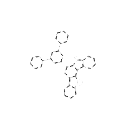 c1ccc(-c2cc(-c3ccccc3)cc(-c3cc4c5ccccc5oc4c4c3sc3ccccc34)c2)cc1